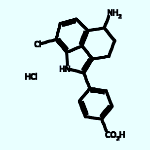 Cl.NC1CCc2c(-c3ccc(C(=O)O)cc3)[nH]c3c(Cl)ccc1c23